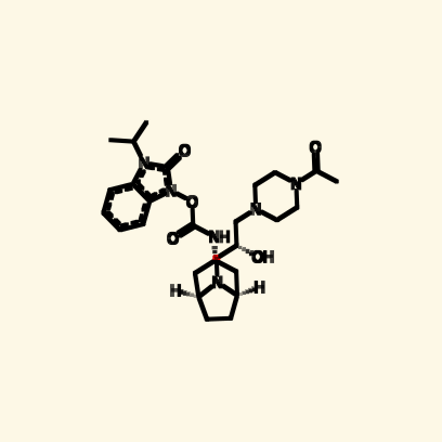 CC(=O)N1CCN(C[C@H](O)CN2[C@@H]3CC[C@H]2C[C@H](NC(=O)On2c(=O)n(C(C)C)c4ccccc42)C3)CC1